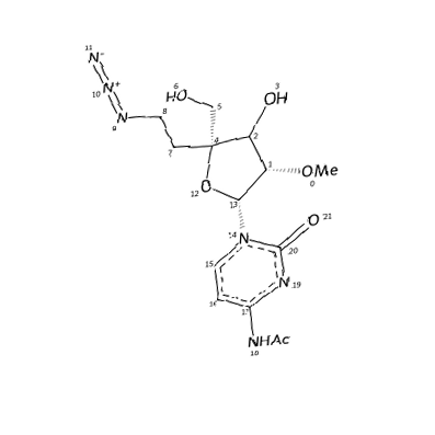 CO[C@H]1C(O)[C@](CO)(CCN=[N+]=[N-])O[C@H]1n1ccc(NC(C)=O)nc1=O